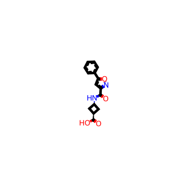 O=C(N[C@H]1C[C@H](C(=O)O)C1)c1cc(-c2ccccc2)on1